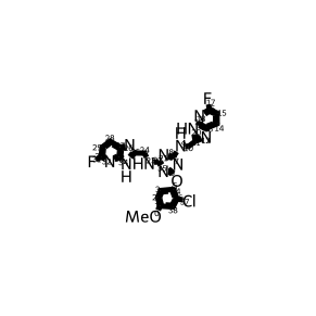 COc1ccc(Oc2nc(NCc3nc4ccc(F)nc4[nH]3)nc(NCc3nc4ccc(F)nc4[nH]3)n2)c(Cl)c1